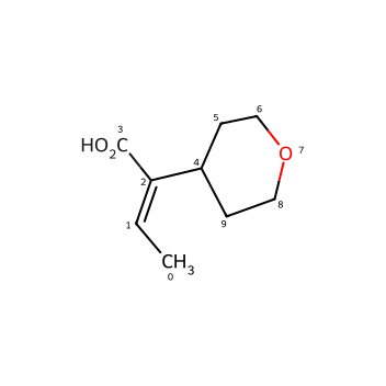 C/C=C(/C(=O)O)C1CCOCC1